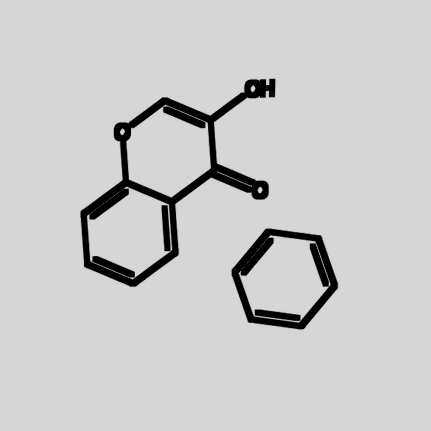 O=c1c(O)coc2ccccc12.c1ccccc1